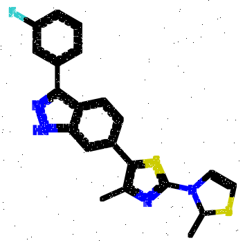 Cc1nc(N2C=CSC2C)sc1-c1ccc2c(-c3cccc(F)c3)n[nH]c2c1